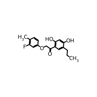 CCCc1cc(C(=O)COc2ccc(C)c(F)c2)c(O)cc1O